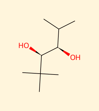 CC(C)[C@@H](O)[C@H](O)C(C)(C)C